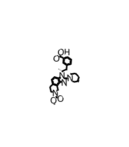 COC(=O)N1CCc2ccc3c(nc(N4CCCCC4)n3[C@H](C)Cc3cccc(C(=O)O)c3)c2C1